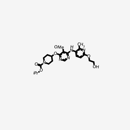 COc1c(Nc2ccc(OCCO)nc2C)ncnc1OC1CCN(C(=O)OC(C)C)CC1